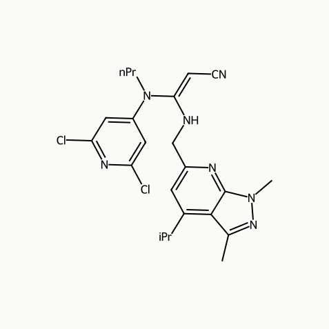 CCCN(/C(=C/C#N)NCc1cc(C(C)C)c2c(C)nn(C)c2n1)c1cc(Cl)nc(Cl)c1